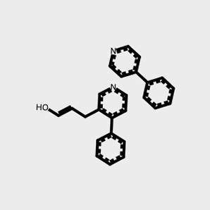 OC=CCc1cnccc1-c1ccccc1.c1ccc(-c2ccncc2)cc1